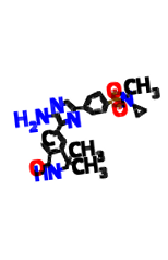 CN(C1CC1)S(=O)(=O)c1ccc(-c2cnc(N)c(-c3ccc4c(c3)C(C)(C)CNC4=O)n2)cc1